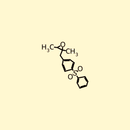 CC1OC1(C)Cc1ccc(S(=O)(=O)c2ccccc2)cc1